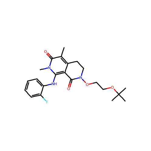 Cc1c2c(c(Nc3ccccc3F)n(C)c1=O)C(=O)N(OCCOC(C)(C)C)CC2